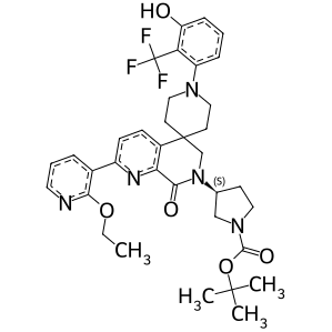 CCOc1ncccc1-c1ccc2c(n1)C(=O)N([C@H]1CCN(C(=O)OC(C)(C)C)C1)CC21CCN(c2cccc(O)c2C(F)(F)F)CC1